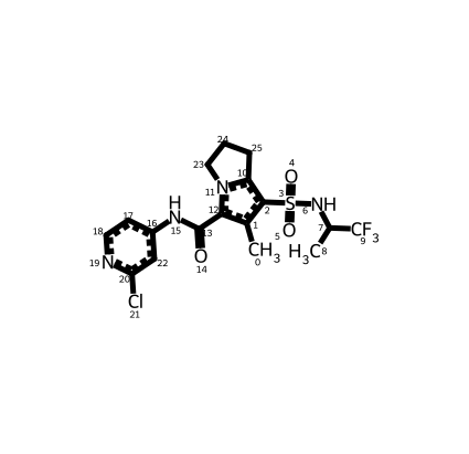 Cc1c(S(=O)(=O)NC(C)C(F)(F)F)c2n(c1C(=O)Nc1ccnc(Cl)c1)CCC2